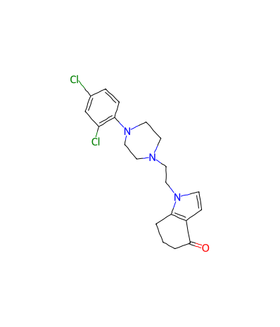 O=C1CCCc2c1ccn2CCN1CCN(c2ccc(Cl)cc2Cl)CC1